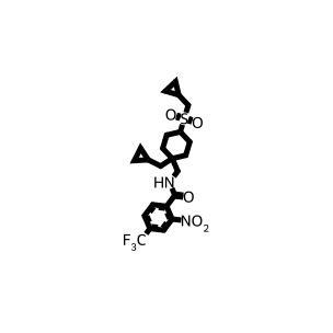 O=C(NCC1(CC2CC2)CCC(S(=O)(=O)CC2CC2)CC1)c1ccc(C(F)(F)F)cc1[N+](=O)[O-]